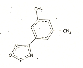 Cc1cc(C)cc(-c2n[c]on2)c1